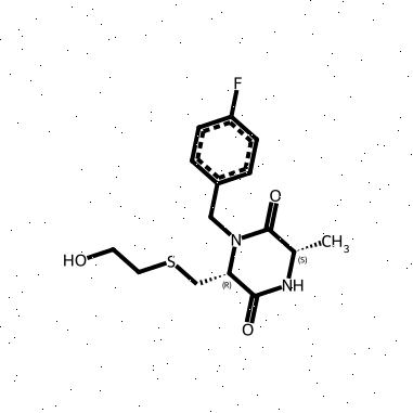 C[C@@H]1NC(=O)[C@H](CSCCO)N(Cc2ccc(F)cc2)C1=O